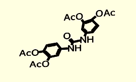 CC(=O)Oc1ccc(NC(=O)Nc2ccc(OC(C)=O)c(OC(C)=O)c2)cc1OC(C)=O